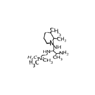 CC(N)C(NCC[N+](C)(C)C)NN1CCCC(C)C1C